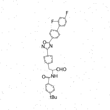 CC(C)(C)c1ccc(C(=O)NC(C=O)Cc2ccc(-c3noc(-c4ccc(-c5ccc(F)cc5F)cc4)n3)cc2)cc1